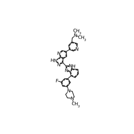 CN(C)Cc1cncc(-c2cnc3[nH]nc(-c4nc5c(-c6cc(F)cc(N7CCN(C)CC7)c6)cccc5[nH]4)c3c2)c1